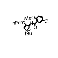 CCCCCc1cn(C(C)(C)C)sc1=NC(=O)c1cc(Cl)ccc1OC